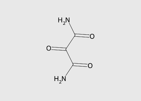 NC(=O)C(=O)C(N)=O